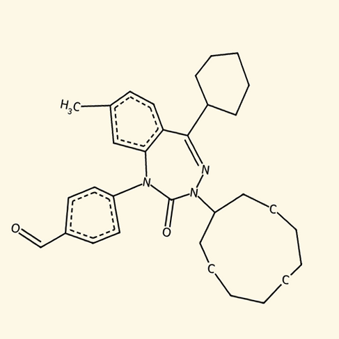 Cc1ccc2c(c1)N(c1ccc(C=O)cc1)C(=O)N(C1CCCCCCCCC1)N=C2C1CCCCC1